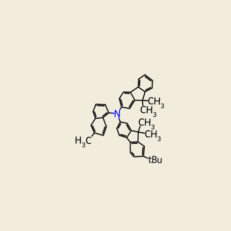 Cc1ccc2c(N(c3ccc4c(c3)C(C)(C)c3ccccc3-4)c3ccc4c(c3)C(C)(C)c3cc(C(C)(C)C)ccc3-4)cccc2c1